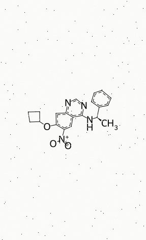 C[C@@H](Nc1ncnc2cc(OC3CCC3)c([N+](=O)[O-])cc12)c1ccccc1